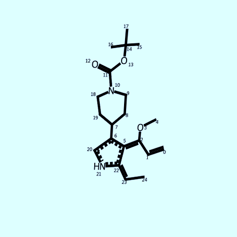 C=C/C(OC)=c1/c(C2CCN(C(=O)OC(C)(C)C)CC2)c[nH]/c1=C/C